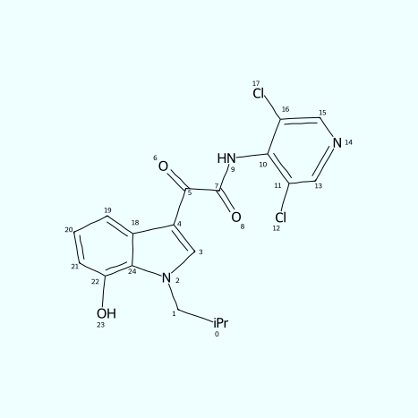 CC(C)Cn1cc(C(=O)C(=O)Nc2c(Cl)cncc2Cl)c2cccc(O)c21